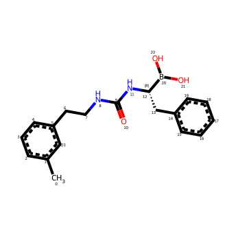 Cc1cccc(CCNC(=O)N[C@@H](Cc2ccccc2)B(O)O)c1